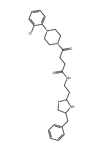 O=C(CCC(=O)N1CCN(c2ccccc2Cl)CC1)NCCC1NC(Cc2ccccc2)CS1